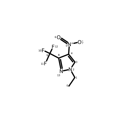 CCn1cc([N+](=O)[O-])c(C(F)(F)F)n1